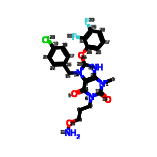 Cn1c2c(c(=O)n(CCCON)c1=O)N(Cc1ccc(Cl)cc1)C(Oc1cccc(F)c1F)N2